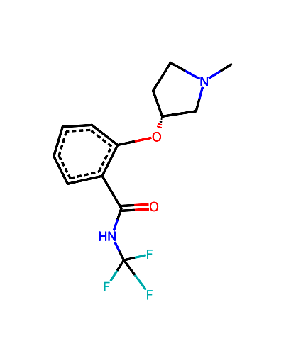 CN1CC[C@@H](Oc2ccccc2C(=O)NC(F)(F)F)C1